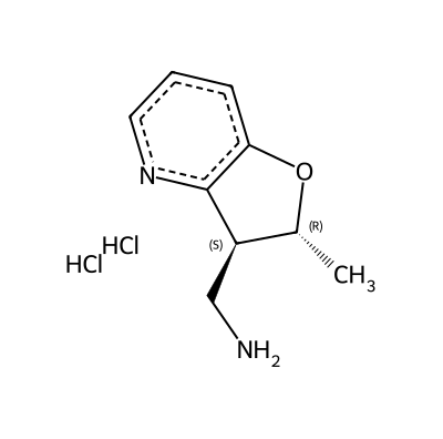 C[C@H]1Oc2cccnc2[C@@H]1CN.Cl.Cl